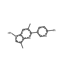 CCCn1cc(C)c2nc(-c3[c]nc(C(C)C)cc3)c(C)cc21